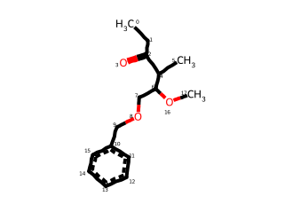 CCC(=O)C(C)C(COCc1ccccc1)OC